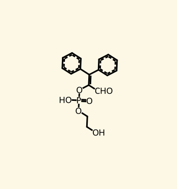 O=CC(OP(=O)(O)OCCO)=C(c1ccccc1)c1ccccc1